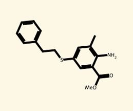 COC(=O)c1cc(SCCc2ccccc2)cc(C)c1N